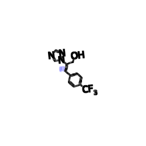 OC/C(=C\c1ccc(C(F)(F)F)cc1)n1cncn1